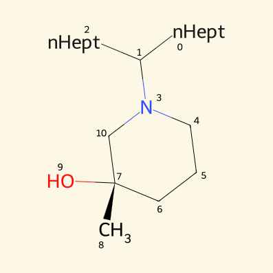 CCCCCCCC(CCCCCCC)N1CCC[C@](C)(O)C1